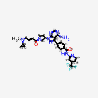 CN(CC=CC(=O)N1CC[C@@H](n2nc(-c3ccc(C(=O)Nc4cc(C(F)(F)F)ccn4)cc3)c3c(N)ncnc32)C1)C1CC1